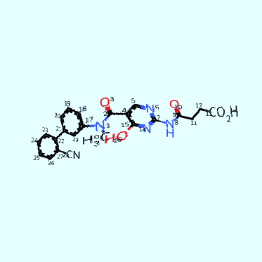 CN(C(=O)c1cnc(NC(=O)CCC(=O)O)nc1O)c1cccc(-c2ccccc2C#N)c1